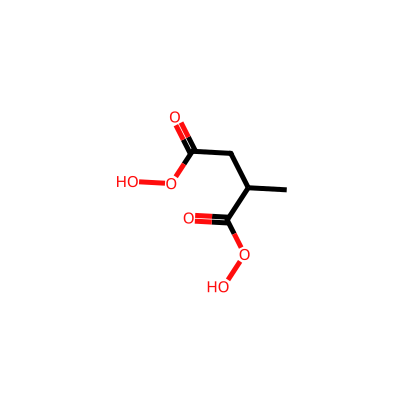 CC(CC(=O)OO)C(=O)OO